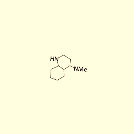 CNC1CCNC2CCCCC12